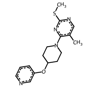 CSc1ncc(C)c(N2CCC(Oc3cccnc3)CC2)n1